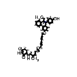 CC/C(=C(\c1ccc(O)cc1)c1ccc(OCC#CC#CCOOCCC(C)CNC2CCC(=O)NC2=O)cc1)c1ccccc1